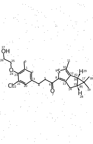 Cc1cc(CCC(=O)c2sc(C)c3c2C[C@@H]2[C@H]3C2(C)C)cc(Cl)c1OCCO